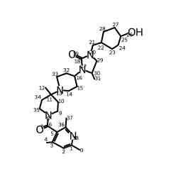 Cc1cc(C)c(C(=O)N2CCC(C)(N3CCC(N4C(=O)N(CC5CCC(O)CC5)CC4C)CC3)CC2)c(C)n1